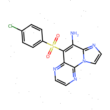 Nc1c(S(=O)(=O)c2ccc(Cl)cc2)c2nccnc2n2ccnc12